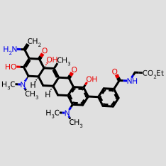 C=C(N)C1=C(O)[C@H](N(C)C)[C@@H]2C[C@@H]3Cc4c(N(C)C)cc(-c5cccc(C(=O)NCC(=O)OCC)c5)c(O)c4C(=O)C3=C(C)[C@]2(O)C1=O